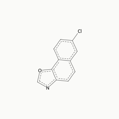 Clc1ccc2c(ccc3ncoc32)c1